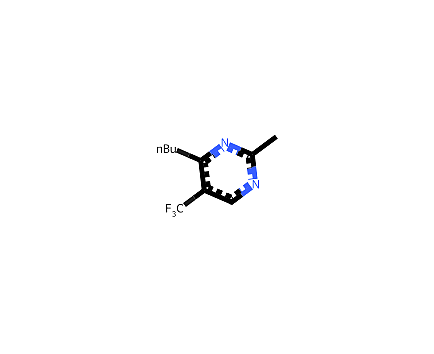 CCCCc1nc(C)ncc1C(F)(F)F